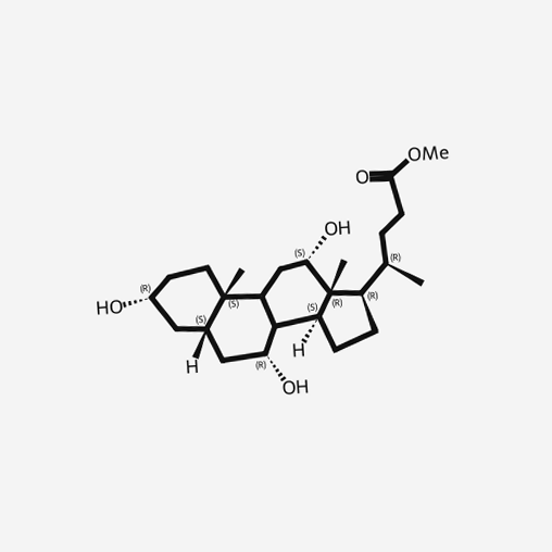 COC(=O)CC[C@@H](C)[C@H]1CC[C@H]2C3C(C[C@H](O)[C@]12C)[C@@]1(C)CC[C@@H](O)C[C@H]1C[C@H]3O